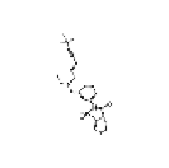 CCN(CC=CC#CC(C)(C)C)Cc1cccc(N2C(=O)c3ccccc3C2=O)c1